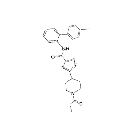 CCC(=O)N1CCC(c2nc(C(=O)Nc3ccccc3-c3ccc(C)cc3)cs2)CC1